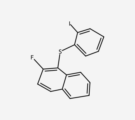 Fc1ccc2ccccc2c1Sc1ccccc1I